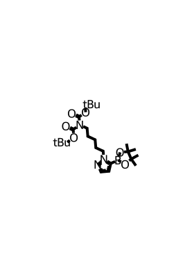 CC(C)(C)OC(=O)N(CCCCCn1nccc1B1OC(C)(C)C(C)(C)O1)C(=O)OC(C)(C)C